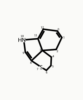 C1=CCC23CCCSC2=CNC3=C1